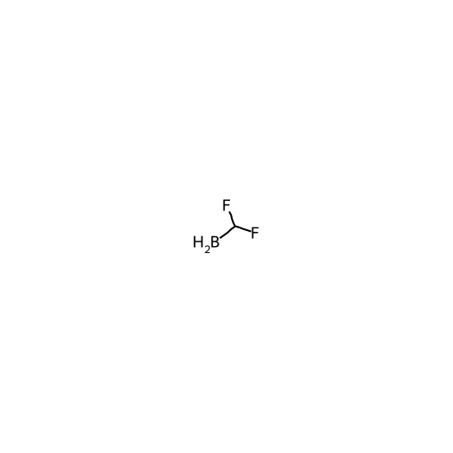 BC(F)F